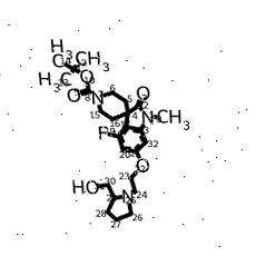 CN1C(=O)C2(CCN(C(=O)OC(C)(C)C)CC2)c2c(F)cc(OCCN3CCCC3CO)cc21